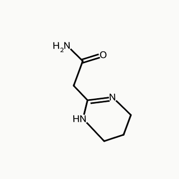 NC(=O)CC1=NCCCN1